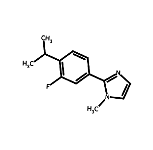 CC(C)c1ccc(-c2nccn2C)cc1F